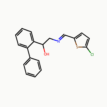 OC(C/N=C/c1ccc(Cl)s1)c1ccccc1-c1ccccc1